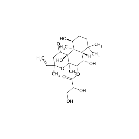 C=C[C@@]1(C)CC(=O)[C@]2(O)[C@@]3(C)[C@@H](O)CCC(C)(C)[C@@H]3[C@H](O)[C@H](OC(=O)C(O)CO)[C@@]2(C)O1